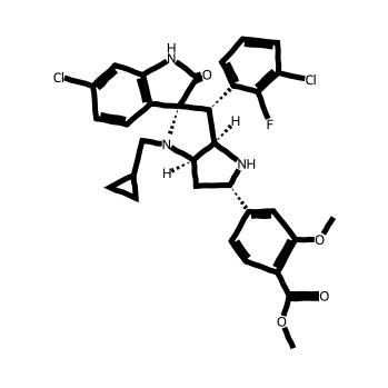 COC(=O)c1ccc([C@@H]2C[C@@H]3[C@H](N2)[C@@H](c2cccc(Cl)c2F)[C@@]2(C(=O)Nc4cc(Cl)ccc42)N3CC2CC2)cc1OC